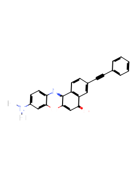 CCN(CC)c1ccc2nc3c4ccc(C#Cc5ccccc5)cc4c(=O)cc-3oc2c1